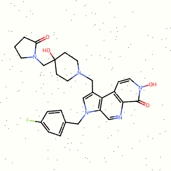 O=C1CCCN1CC1(O)CCN(Cc2cn(Cc3ccc(F)cc3)c3cnc4c(=O)n(O)ccc4c23)CC1